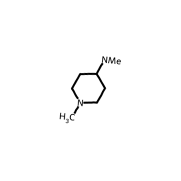 [CH2]NC1CCN(C)CC1